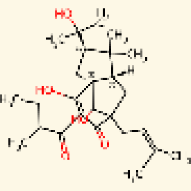 CCC(C)C(=O)C1=C(O)[C@@]23C[C@@H](C(C)(C)O)C(C)(C)[C@@H]2CC(CC=C(C)C)(C1=O)C3O